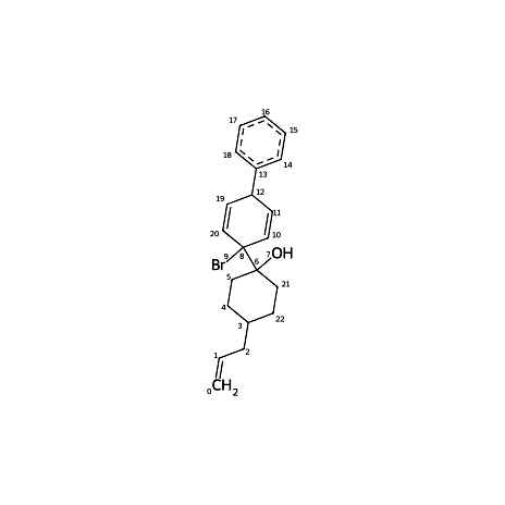 C=CCC1CCC(O)(C2(Br)C=CC(c3ccccc3)C=C2)CC1